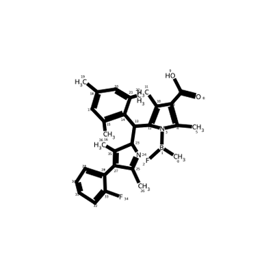 CB(F)n1c(C)c(C(=O)O)c(C)c1C(c1c(C)cc(C)cc1C)C1N=C(C)C(c2ccccc2F)=C1C